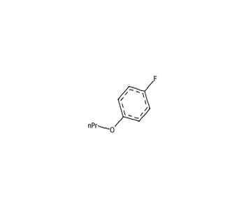 CCCOc1c[c]c(F)cc1